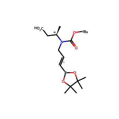 C[C@H](CC(=O)O)N(C/C=C/B1OC(C)(C)C(C)(C)O1)C(=O)OC(C)(C)C